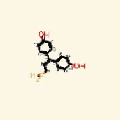 Oc1ccc(C(=CCP)c2ccc(O)cc2)cc1